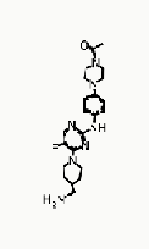 CC(=O)N1CCN(c2ccc(Nc3ncc(F)c(N4CCC(CN)CC4)n3)cc2)CC1